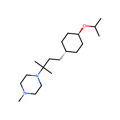 CC(C)O[C@H]1CC[C@H](CCC(C)(C)N2CCN(C)CC2)CC1